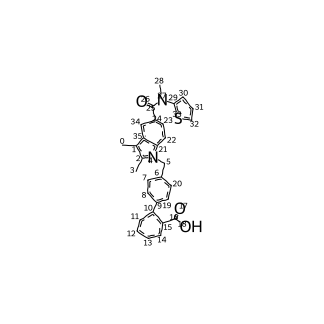 Cc1c(C)n(Cc2ccc(-c3ccccc3C(=O)O)cc2)c2ccc(C(=O)N(C)c3cccs3)cc12